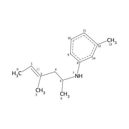 C/C=C(\C)CC(C)Nc1cccc(C)c1